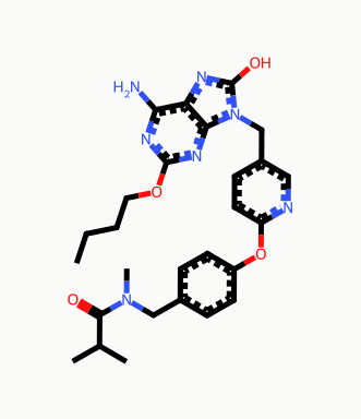 CCCCOc1nc(N)c2nc(O)n(Cc3ccc(Oc4ccc(CN(C)C(=O)C(C)C)cc4)nc3)c2n1